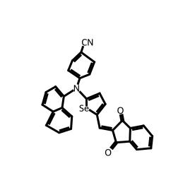 N#Cc1ccc(N(c2ccc(C=C3C(=O)c4ccccc4C3=O)[se]2)c2cccc3ccccc23)cc1